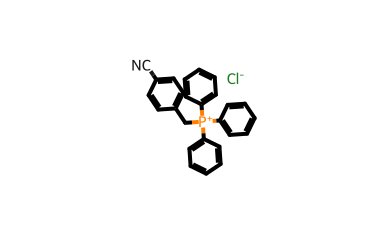 N#Cc1ccc(C[P+](c2ccccc2)(c2ccccc2)c2ccccc2)cc1.[Cl-]